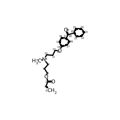 C=CC(=O)OCCCN(C)CCCOc1ccc(C(=O)c2ccccc2)cc1